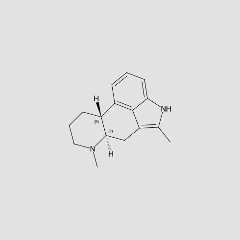 Cc1[nH]c2cccc3c2c1C[C@@H]1[C@@H]3CCCN1C